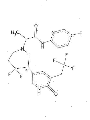 CC(C(=O)Nc1ccc(F)cn1)N1CCC(F)(F)[C@@H](c2c[nH]c(=O)c(CC(F)(F)F)c2)C1